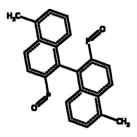 Cc1cccc2c(-c3c(P=O)ccc4c(C)cccc34)c(P=O)ccc12